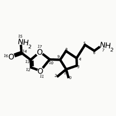 CC1(C)CC(CCN)CC1C1OC=C(C(N)=O)O1